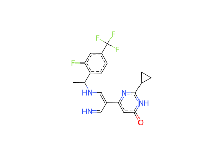 CC(N/C=C(\C=N)c1cc(=O)[nH]c(C2CC2)n1)c1ccc(C(F)(F)F)cc1F